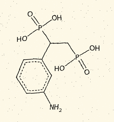 Nc1cccc(C(CP(=O)(O)O)P(=O)(O)O)c1